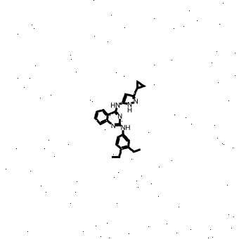 CCc1ccc(Nc2nc(Nc3cc(C4CC4)n[nH]3)c3ccccc3n2)cc1CC